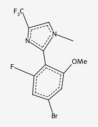 COc1cc(Br)cc(F)c1-c1nc(C(F)(F)F)cn1C